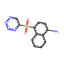 Nc1ccc(S(=O)(=O)c2cnnnn2)c2ccccc12